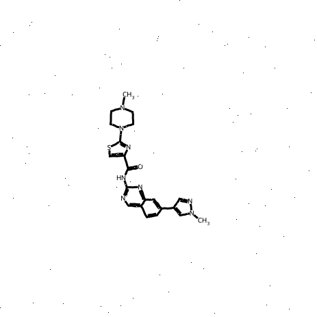 CN1CCN(c2nc(C(=O)Nc3ncc4ccc(-c5cnn(C)c5)cc4n3)cs2)CC1